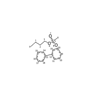 CCCCOS(C)(=O)=O.c1ccc(-c2ccccc2)cc1